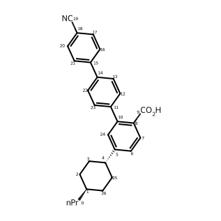 CCC[C@H]1CC[C@H](c2ccc(C(=O)O)c(-c3ccc(-c4ccc(C#N)cc4)cc3)c2)CC1